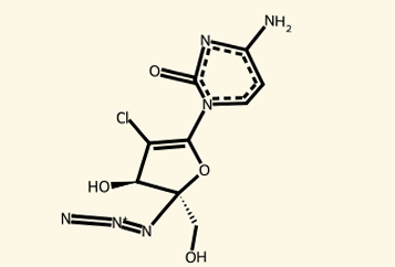 [N-]=[N+]=N[C@]1(CO)OC(n2ccc(N)nc2=O)=C(Cl)[C@@H]1O